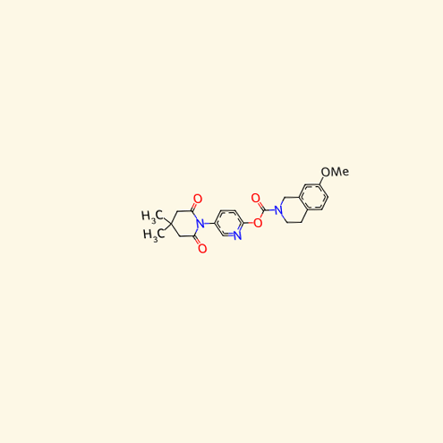 COc1ccc2c(c1)CN(C(=O)Oc1ccc(N3C(=O)CC(C)(C)CC3=O)cn1)CC2